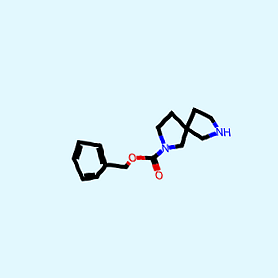 O=C(OCc1ccccc1)N1CCC2(CCNC2)C1